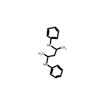 CC(CC(C)Pc1ccccc1)Pc1ccccc1